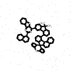 CC1(C)c2ccc(-c3nc(-c4cccc5ccccc45)nc4c3sc3ccccc34)cc2-c2c(-c3cccc4c3-c3c(ccc5ccccc35)C43c4ccccc4Oc4ccccc43)cccc21